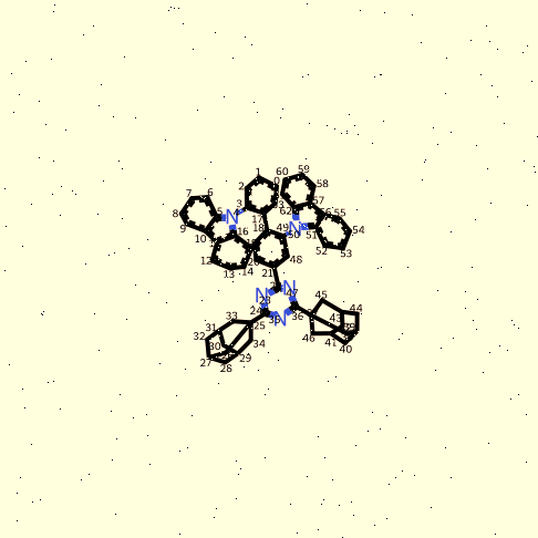 c1ccc(-n2c3ccccc3c3ccccc32)c(-c2ccc(-c3nc(C45CC6CC(CC(C6)C4)C5)nc(C45CC6CC(CC(C6)C4)C5)n3)cc2-n2c3ccccc3c3ccccc32)c1